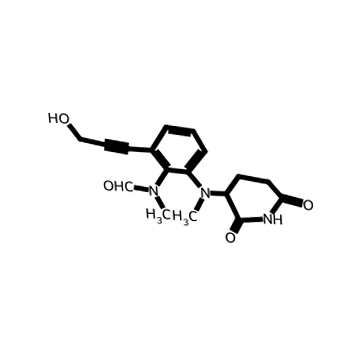 CN(C=O)c1c(C#CCO)cccc1N(C)C1CCC(=O)NC1=O